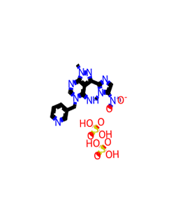 Cn1c([N+](=O)[O-])cnc1-c1nn(C)c2ncn(Cc3cccnc3)c(=N)c12.O=S(=O)(O)O.O=S(=O)(O)O